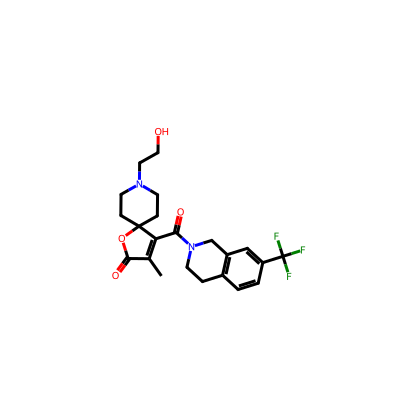 CC1=C(C(=O)N2CCc3ccc(C(F)(F)F)cc3C2)C2(CCN(CCO)CC2)OC1=O